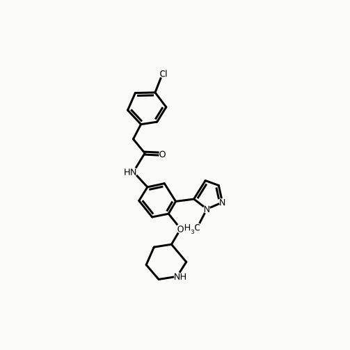 Cn1nccc1-c1cc(NC(=O)Cc2ccc(Cl)cc2)ccc1OC1CCCNC1